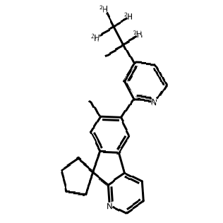 [2H]C([2H])([2H])C([2H])(C)c1ccnc(-c2cc3c(cc2C)C2(CCCC2)c2ncccc2-3)c1